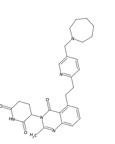 Cc1nc2cccc(CCc3ccc(CN4CCCCCC4)cn3)c2c(=O)n1C1CCC(=O)NC1=O